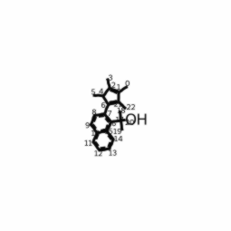 CC1=C(C)C(C)C(c2ccc3ccccc3c2C(C)(C)O)=C1C